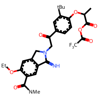 CCOc1cc2c(cc1C(=O)NC)C(=N)N(CC(=O)c1ccc(OC(C)C(=O)OC(=O)C(F)(F)F)c(C(C)(C)C)c1)C2